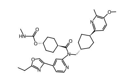 CCc1nc(-c2ccnc(N(C[C@H]3CC[C@H](c4ccc(OC)c(C)n4)CC3)C(=O)[C@H]3CC[C@H](OC(=O)NC)CC3)c2)co1